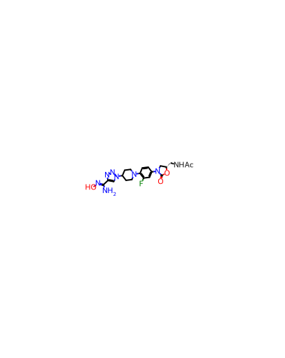 CC(=O)NC[C@H]1CN(c2ccc(N3CCC(n4cc(/C(N)=N/O)nn4)CC3)c(F)c2)C(=O)O1